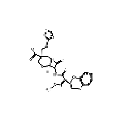 CON=C(C(=O)NC1C(=O)N2CC(CSc3nncs3)(C(=O)O)CS[C@H]12)C1=CSc2ccccc2O1